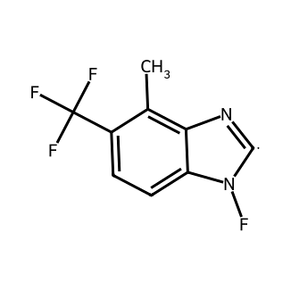 Cc1c(C(F)(F)F)ccc2c1n[c]n2F